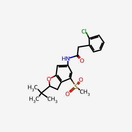 CC(C)(C)C1Cc2c(cc(NC(=O)Cc3ccccc3Cl)cc2S(C)(=O)=O)O1